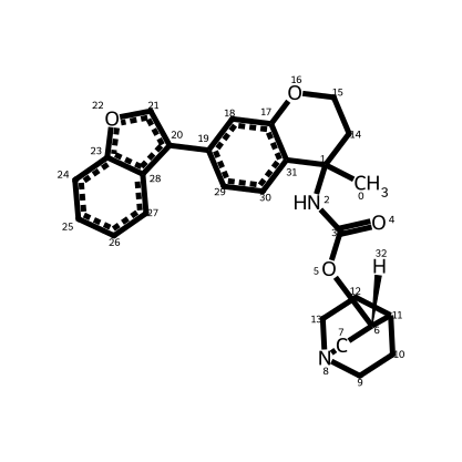 CC1(NC(=O)O[C@H]2CN3CCC2CC3)CCOc2cc(-c3coc4ccccc34)ccc21